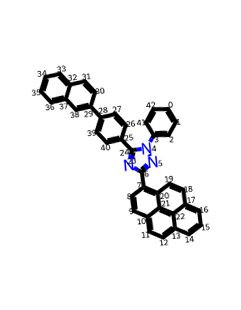 c1ccc(-n2nc(-c3ccc4ccc5cccc6ccc3c4c56)nc2-c2ccc(-c3ccc4ccccc4c3)cc2)cc1